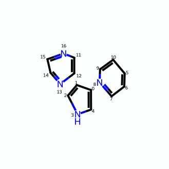 c1cc[nH]c1.c1ccncc1.c1cnccn1